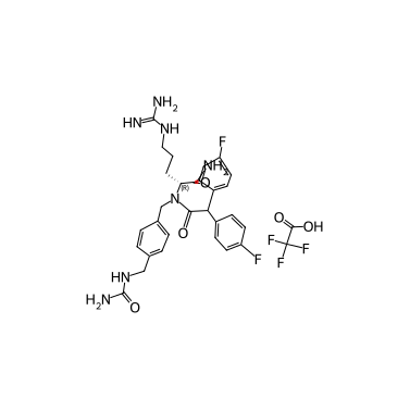 N=C(N)NCCC[C@H](C(N)=O)N(Cc1ccc(CNC(N)=O)cc1)C(=O)C(c1ccc(F)cc1)c1ccc(F)cc1.O=C(O)C(F)(F)F